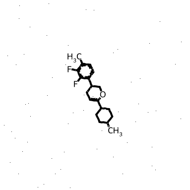 Cc1ccc(C2CC=C(C3CCC(C)CC3)OC2)c(F)c1F